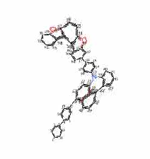 c1ccc(-c2ccc(-c3ccc(N(c4ccc(-c5ccc6c(c5)oc5ccc7oc8ccccc8c7c56)cc4)c4ccccc4-c4ccccc4)cc3)cc2)cc1